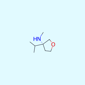 CN[C@@]1(C(C)C)CCOC1